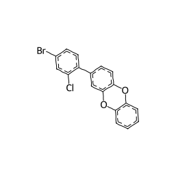 Clc1cc(Br)ccc1-c1ccc2c(c1)Oc1ccccc1O2